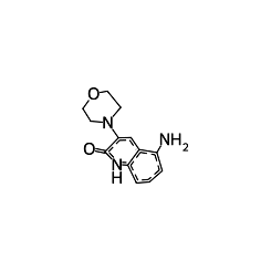 Nc1cccc2[nH]c(=O)c(N3CCOCC3)cc12